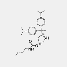 CCCCNC(=O)O[C@H]1CN[C@@H](C(C)(c2ccc(C(C)C)cc2)c2ccc(C(C)C)cc2)C1